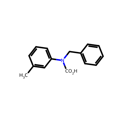 Cc1cccc(N(Cc2ccccc2)C(=O)O)c1